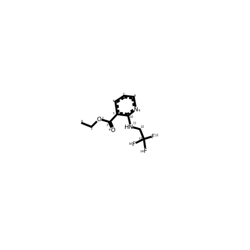 CCOC(=O)c1cccnc1NCC(F)(F)F